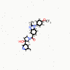 Cc1cncc(C2(O)CCN(C(=O)c3ccc4c(c3)nc(C(C)C)n4-c3ccc(OC(F)(F)F)cc3)C2)c1